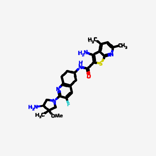 COC1(C)CN(c2nc3c(cc2F)CC(NC(=O)c2sc4nc(C)cc(C)c4c2N)CC3)CC1N